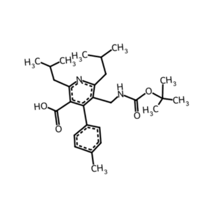 Cc1ccc(-c2c(CNC(=O)OC(C)(C)C)c(CC(C)C)nc(CC(C)C)c2C(=O)O)cc1